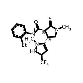 CCc1ccccc1NC(=O)[C@H]1C(=S)N(C)C[C@@H]1C1=CC(C(F)(F)F)NN1C